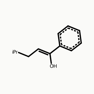 CC(C)CC=C(O)c1ccccc1